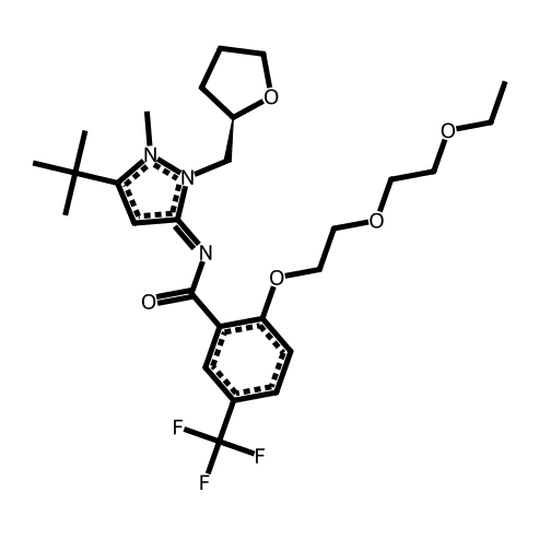 CCOCCOCCOc1ccc(C(F)(F)F)cc1C(=O)N=c1cc(C(C)(C)C)n(C)n1C[C@H]1CCCO1